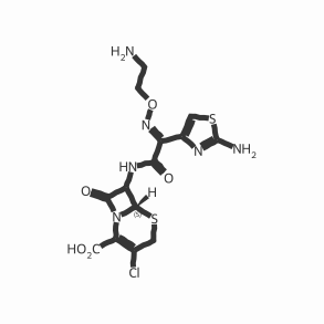 NCCON=C(C(=O)NC1C(=O)N2C(C(=O)O)=C(Cl)CS[C@@H]12)c1csc(N)n1